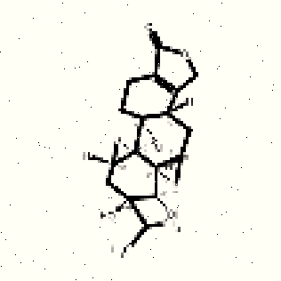 CC(C)[C@]1(O)C[C@@H]2O[C@]23[C@]2(O[C@H]2C[C@H]2C4=C(CC[C@@]23C)C(=O)OC4)[C@@H]1O